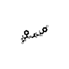 Cn1oc(=O)nc1/C(=N/OCc1csc(NC(=S)Cc2ccc(Cl)cc2)n1)c1ccccc1